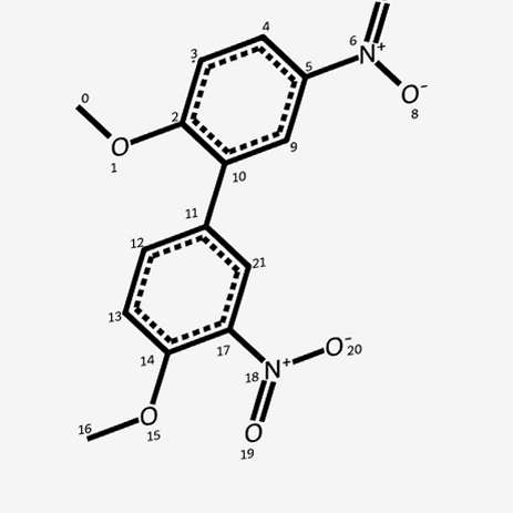 COc1[c]cc([N+](=O)[O-])cc1-c1ccc(OC)c([N+](=O)[O-])c1